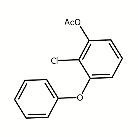 CC(=O)Oc1cccc(Oc2ccccc2)c1Cl